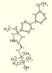 COc1cccc(-c2ccc([C@@]3(OC)CN[C@H](CCC(C)(C)[Si](C)(C)O)C3)cc2)c1